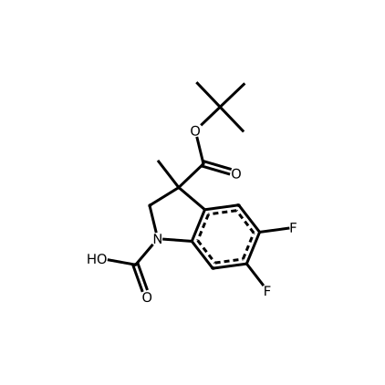 CC(C)(C)OC(=O)C1(C)CN(C(=O)O)c2cc(F)c(F)cc21